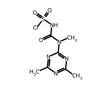 Cc1nc(C)nc(N(C)C(=O)NS(=O)(=O)Cl)n1